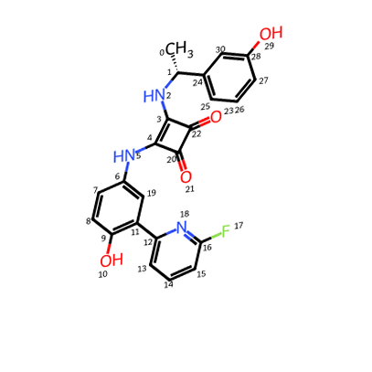 C[C@@H](Nc1c(Nc2ccc(O)c(-c3cccc(F)n3)c2)c(=O)c1=O)c1cccc(O)c1